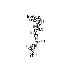 CCOc1cc(N2CCC(N3CCN(CCc4cccc5c4C(C)(C)C(=O)N5C4CCC(=O)NC4=O)[C@H](CO)C3)CC2)c(CC)cc1Nc1ncc(Br)c(Nc2ccc3c(=O)n(CC)ncc3c2P(C)(C)=O)n1